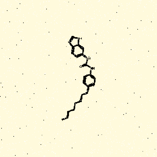 CCCCCCCCc1ccc(NC(=O)Nc2ccc3cc[nH]c3c2)cc1